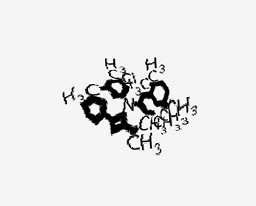 CC/C=C(\C=C1/CC(C)(C)CCC1(C)C)N(C1=CC(C)(Cl)CC(C)=C1)C1=C(c2ccccc2)C=C1C(C)C